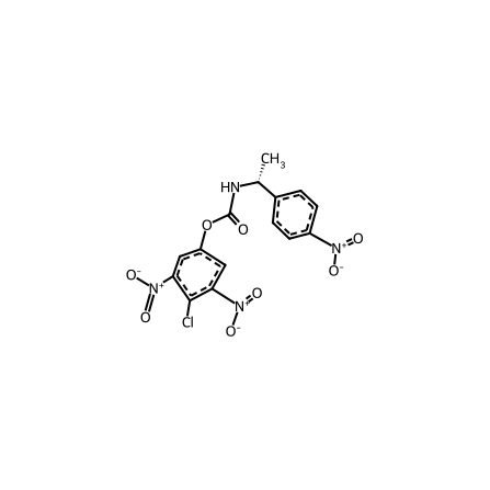 C[C@@H](NC(=O)Oc1cc([N+](=O)[O-])c(Cl)c([N+](=O)[O-])c1)c1ccc([N+](=O)[O-])cc1